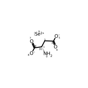 N[C@@H](CC(=O)[O-])C(=O)[O-].[Se+2]